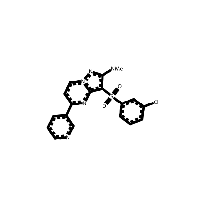 CNc1nn2ccc(-c3cccnc3)nc2c1S(=O)(=O)c1cccc(Cl)c1